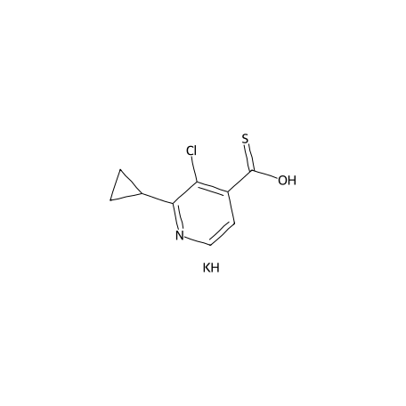 OC(=S)c1ccnc(C2CC2)c1Cl.[KH]